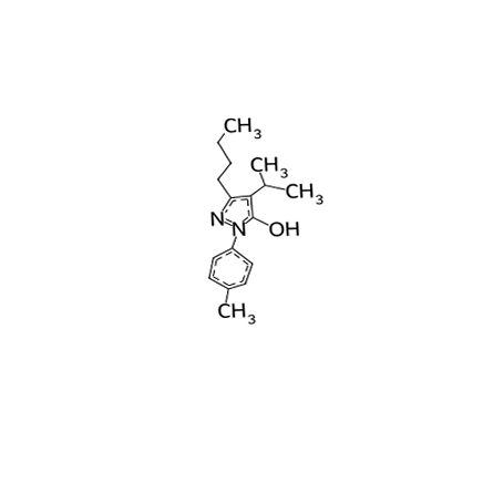 CCCCc1nn(-c2ccc(C)cc2)c(O)c1C(C)C